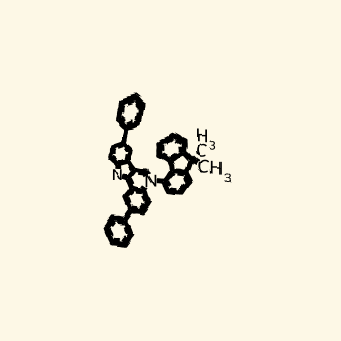 CC1(C)c2ccccc2-c2c(-n3cc4c5cc(-c6ccccc6)ccc5nc-4c4cc(-c5ccccc5)ccc43)cccc21